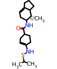 CC(C)SNC1=CCC(C(=O)NC2CC=C3CCCC3[C@@H]2C)CC1